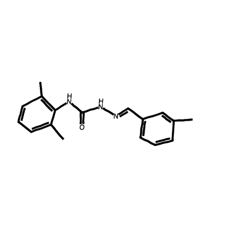 Cc1cccc(/C=N/NC(=O)Nc2c(C)cccc2C)c1